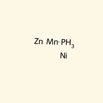 P.[Mn].[Ni].[Zn]